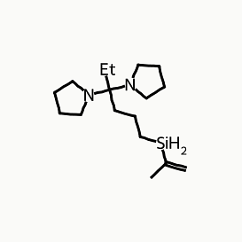 C=C(C)[SiH2]CCCC(CC)(N1CCCC1)N1CCCC1